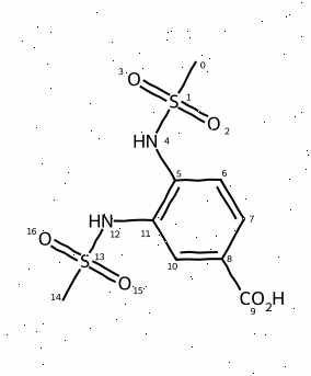 CS(=O)(=O)Nc1ccc(C(=O)O)cc1NS(C)(=O)=O